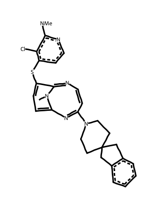 CNc1nccc(SC2=CC=C3/N=C(/N4CCC5(CC4)Cc4ccccc4C5)C=C/N=C/2N3C)c1Cl